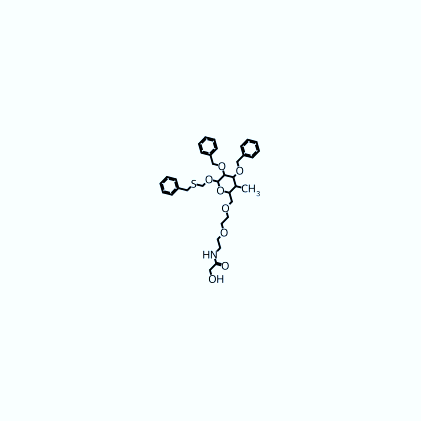 CC1C(COCCOCCNC(=O)CO)OC(OCSCc2ccccc2)C(OCc2ccccc2)C1OCc1ccccc1